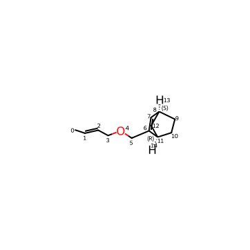 CC=CCOCC1=C[C@H]2CC[C@@H]1C2